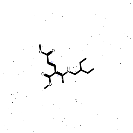 CCC(CC)CN/C(C)=C(\C=C\C(=O)OC)C(=O)OC